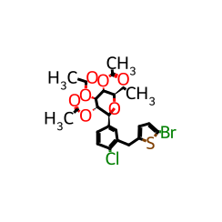 CC[C@H]1O[C@@H](c2ccc(Cl)c(Cc3ccc(Br)s3)c2)[C@H](OC(C)=O)[C@@H](OC(C)=O)[C@@H]1OC(C)=O